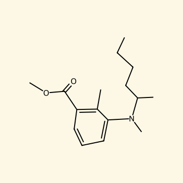 CCCCC(C)N(C)c1cccc(C(=O)OC)c1C